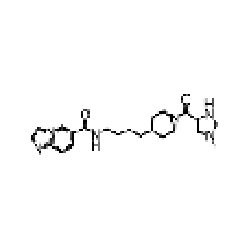 CN1CNC(C(=O)N2CCC(CCCCNC(=O)c3ccc4nccn4c3)CC2)C1